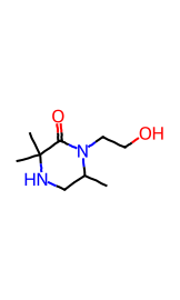 CC1CNC(C)(C)C(=O)N1CCO